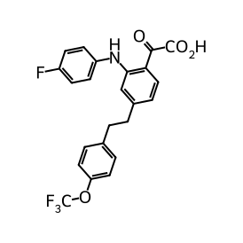 O=C(O)C(=O)c1ccc(CCc2ccc(OC(F)(F)F)cc2)cc1Nc1ccc(F)cc1